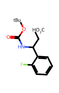 CC(C)(C)OC(=O)NC(CC(=O)O)c1ccccc1F